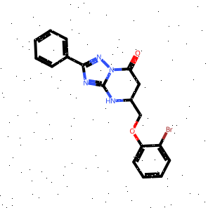 O=C1CC(COc2ccccc2Br)Nc2nc(-c3ccccc3)nn21